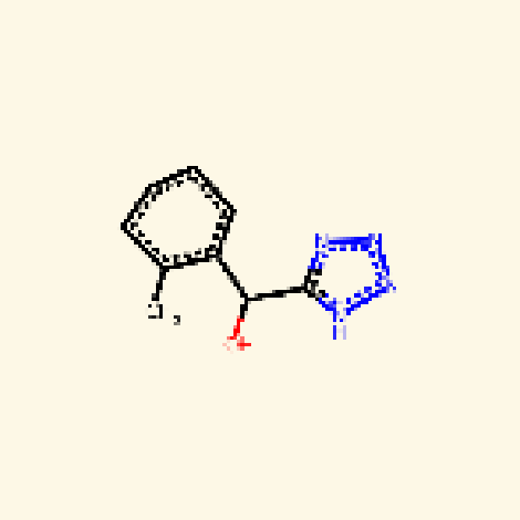 Cc1ccccc1C(O)c1nnn[nH]1